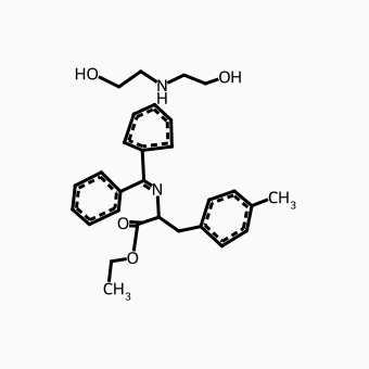 CCOC(=O)C(Cc1ccc(C)cc1)N=C(c1ccccc1)c1ccccc1.OCCNCCO